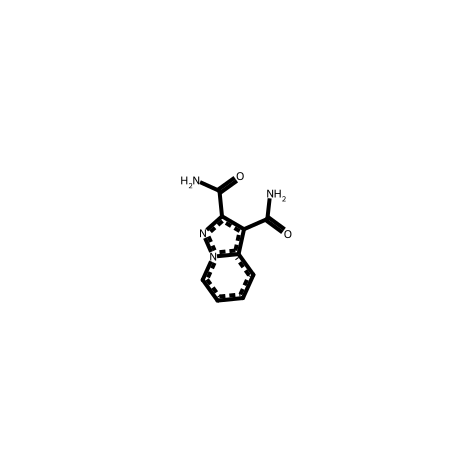 NC(=O)c1nn2ccccc2c1C(N)=O